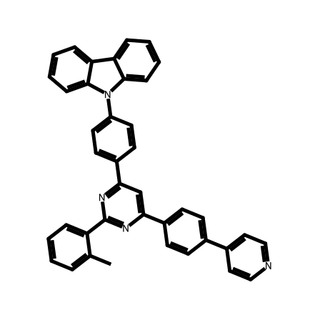 Cc1ccccc1-c1nc(-c2ccc(-c3ccncc3)cc2)cc(-c2ccc(-n3c4ccccc4c4ccccc43)cc2)n1